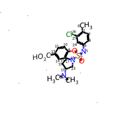 Cc1ccc(N=S(=O)(Oc2ccc(C(=O)O)cc2)N2CC[C@H](N(C)C)C2)cc1Cl